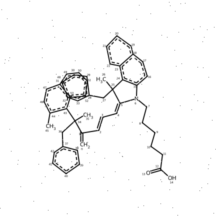 C=C(/C=C/C=C1/N(CCCCCC(=O)O)c2ccc3ccccc3c2C1(C)Cc1ccccc1)C(C)(Cc1ccccc1)c1c(C)ccc2ccccc12